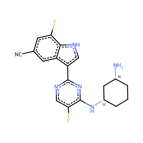 N#Cc1cc(F)c2[nH]cc(-c3ncc(F)c(N[C@H]4CCC[C@@H](N)C4)n3)c2c1